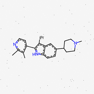 Cc1nccc(-c2[nH]c3ccc(C4CCN(C)CC4)cc3c2C(C)C)c1C